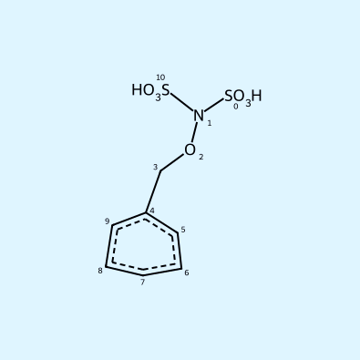 O=S(=O)(O)N(OCc1ccccc1)S(=O)(=O)O